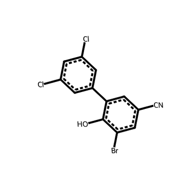 N#Cc1cc(Br)c(O)c(-c2cc(Cl)cc(Cl)c2)c1